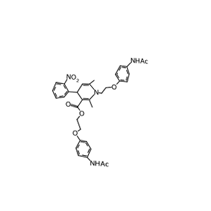 CC(=O)Nc1ccc(OCCOC(=O)C2=C(C)N(CCOc3ccc(NC(C)=O)cc3)C(C)=CC2c2ccccc2[N+](=O)[O-])cc1